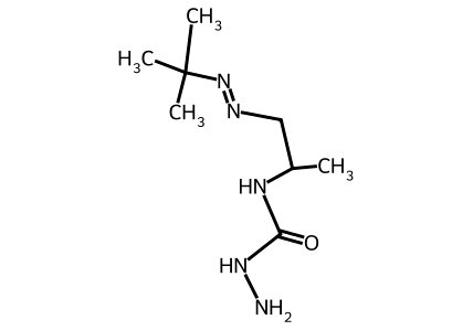 CC(C/N=N/C(C)(C)C)NC(=O)NN